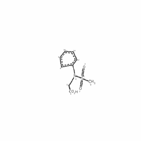 CS(=O)(=O)N(CC(=O)O)c1ccccc1